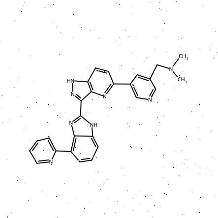 CN(C)Cc1cncc(-c2ccc3[nH]nc(-c4nc5c(-c6ccccn6)cccc5[nH]4)c3n2)c1